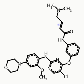 COc1cc(N2CCOCC2)ccc1Nc1ncc(Cl)c(Oc2cccc(NC(=O)/C=C/CN(C)C)c2)n1